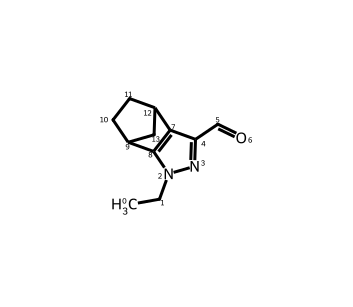 CCn1nc(C=O)c2c1C1CCC2C1